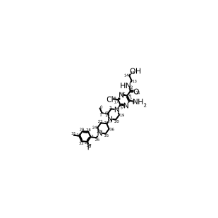 CC[C@H]1CN(c2nc(N)c(C(=O)NCCO)nc2Cl)CCN1C1CCN(Cc2ccc(C)cc2F)CC1